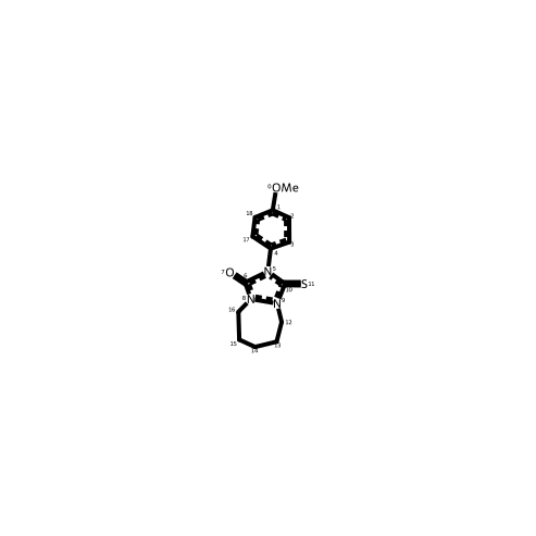 COc1ccc(-n2c(=O)n3n(c2=S)CCCCC3)cc1